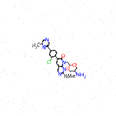 CNc1ncc2cc(-c3ccc(-c4cncc(C)n4)cc3Cl)c(=O)n(CC3OCC(N)CO3)c2n1